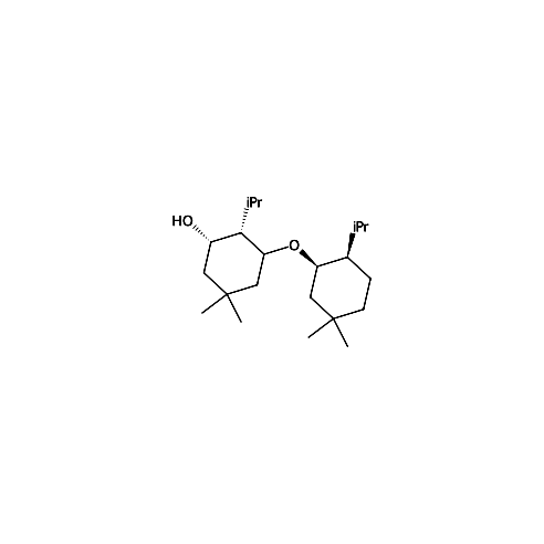 CC(C)[C@@H]1C(O[C@@H]2CC(C)(C)CC[C@@H]2C(C)C)CC(C)(C)C[C@@H]1O